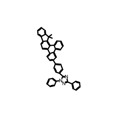 CC1(C)c2ccccc2-c2ccc3c4ccc(-c5ccc(-c6nc(-c7ccccc7)nn6-c6ccccc6)cc5)cc4c4ccccc4c3c21